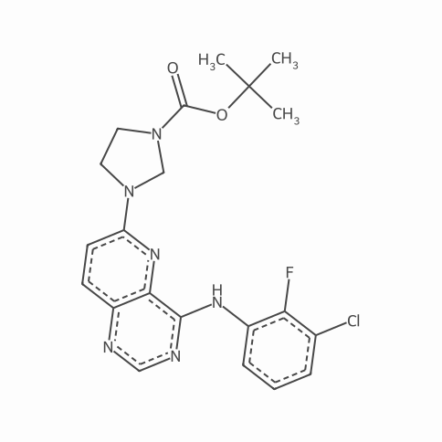 CC(C)(C)OC(=O)N1CCN(c2ccc3ncnc(Nc4cccc(Cl)c4F)c3n2)C1